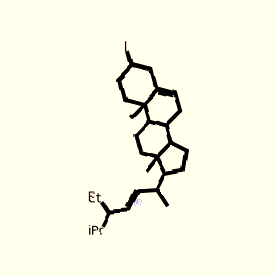 CCC(/C=C/C(C)C1CCC2C3CC=C4CC(I)CCC4(C)C3CCC12C)C(C)C